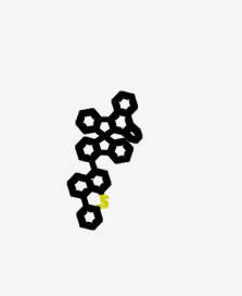 c1ccc2c(c1)Sc1ccc(-c3cccc4c3-c3ccccc3C43c4ccccc4-c4c3c3ccccc3c3ccccc43)c3cccc-2c13